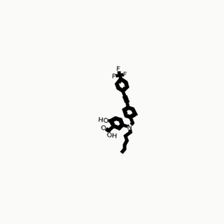 CCCCCCN(Cc1ccc(C#Cc2ccc(C(F)(F)F)cc2)cc1)c1ccc(O)c(C(=O)O)c1